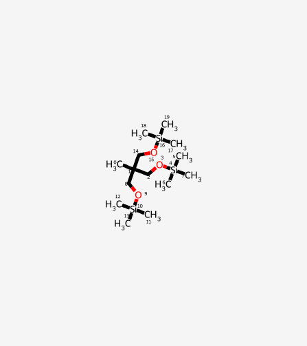 CC(CO[Si](C)(C)C)(CO[Si](C)(C)C)CO[Si](C)(C)C